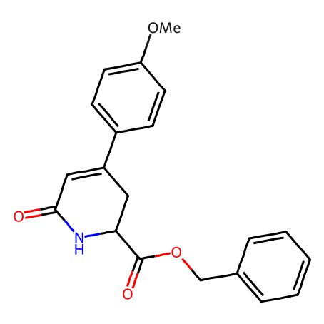 COc1ccc(C2=CC(=O)NC(C(=O)OCc3ccccc3)C2)cc1